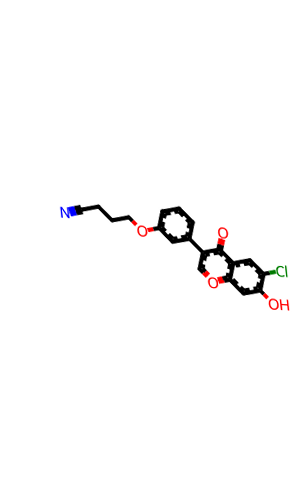 N#CCCCOc1cccc(-c2coc3cc(O)c(Cl)cc3c2=O)c1